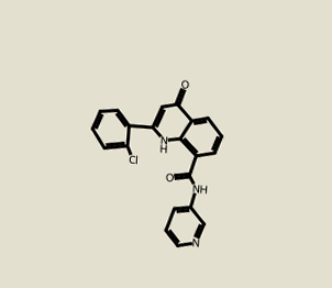 O=C(Nc1cccnc1)c1cccc2c(=O)cc(-c3ccccc3Cl)[nH]c12